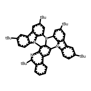 CC(C)(C)c1ccc2c(c1)c1cc(C(C)(C)C)cc3c1n2-c1cc2c(nc(C(C)(C)C)c4ccccc42)c2c1B3c1cc(C(C)(C)C)cc3c4cc(C(C)(C)C)ccc4n-2c13